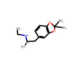 BC1(B)Oc2ccc(C[C@@H](C)NCC)cc2O1